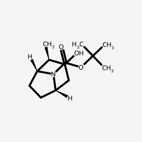 C[C@H]1C(O)C[C@@H]2CC[C@H]1N2C(=O)OC(C)(C)C